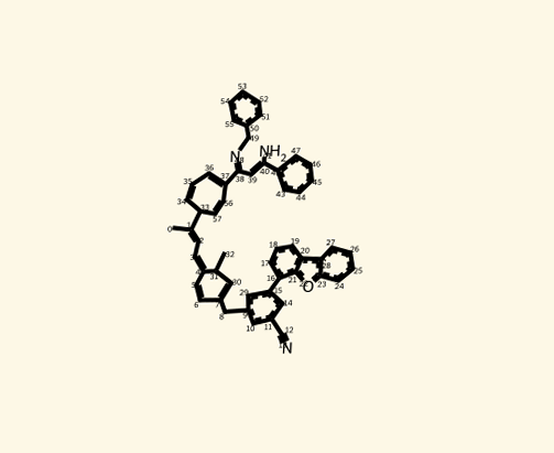 C/C(=C\C=C1\C=CC(Cc2cc(C#N)cc(-c3cccc4c3oc3ccccc34)c2)=CC1C)C1C=CC=C(C(/C=C(\N)c2ccccc2)=N/Cc2ccccc2)C=C1